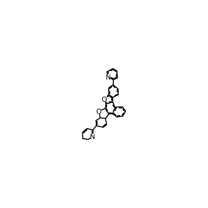 C1=CC(C2=CC3Oc4c(c5ccccc5c5c4oc4cc(-c6ccccn6)ccc45)C3C=C2)=NCC1